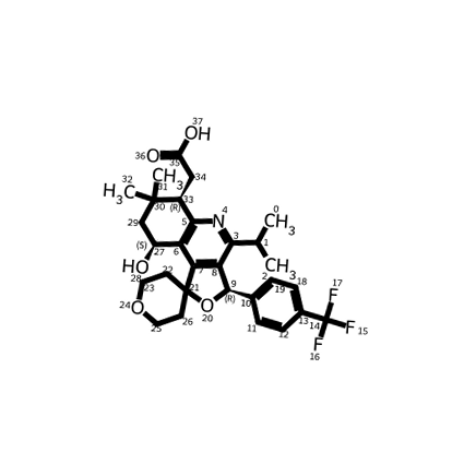 CC(C)c1nc2c(c3c1[C@@H](c1ccc(C(F)(F)F)cc1)OC31CCOCC1)[C@@H](O)CC(C)(C)[C@H]2CC(=O)O